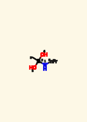 CCCN[Si](C)(O)O